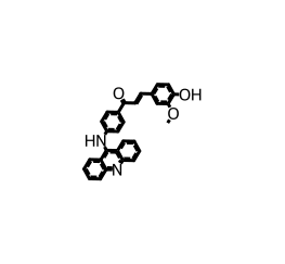 COc1cc(/C=C/C(=O)c2ccc(Nc3c4ccccc4nc4ccccc34)cc2)ccc1O